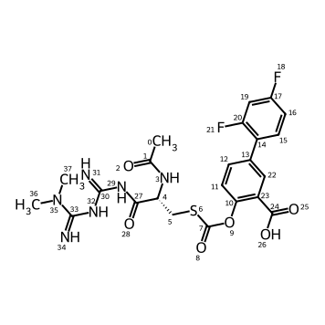 CC(=O)N[C@H](CSC(=O)Oc1ccc(-c2ccc(F)cc2F)cc1C(=O)O)C(=O)NC(=N)NC(=N)N(C)C